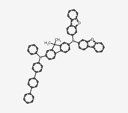 CC1(C)c2cc(N(c3ccccc3)c3ccc(-c4ccc(-c5ccccc5)cc4)cc3)ccc2-c2ccc(N(c3ccc4c(c3)oc3ccccc34)c3ccc4c(c3)oc3ccccc34)cc21